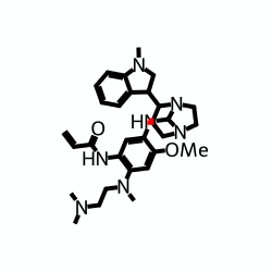 C=CC(=O)Nc1cc(NC2N3CCC(C4CN(C)c5ccccc54)N2CC3)c(OC)cc1N(C)CCN(C)C